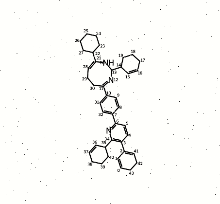 C1=CC(c2ccc(-c3ccc(/C4=N/C(C5C=CCCC5)N/C(C5CCCCC5)=C\CC4)cc3)nc2C2C=CCCC2)=CCC1